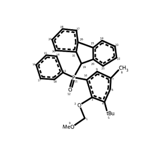 COCOc1c(C(C)(C)C)cc(C)cc1P(=O)(c1ccccc1)C1c2ccccc2-c2ccccc21